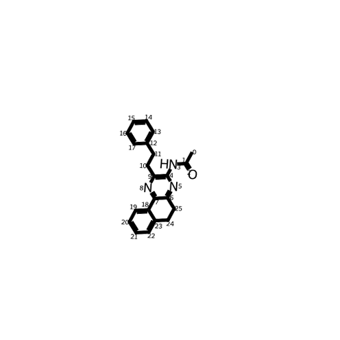 CC(=O)Nc1nc2c(nc1CCc1ccccc1)-c1ccccc1CC2